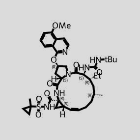 CC[C@@H]1C[C@H](C)CCC=C[C@@H]2C[C@@]2(C(=O)NS(=O)(=O)C2(C)CC2)NC(=O)[C@@H]2C[C@@H](Oc3nccc4c(OC)cccc34)CN2C(=O)[C@H]1NC(=O)NC(C)(C)C